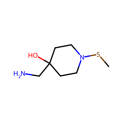 CSN1CCC(O)(CN)CC1